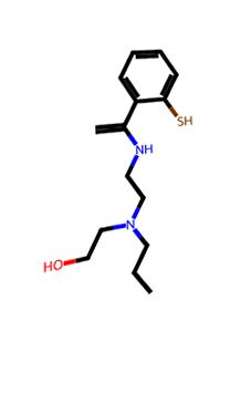 C=C(NCCN(CCC)CCO)c1ccccc1S